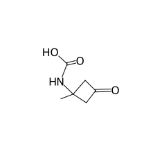 CC1(NC(=O)O)CC(=O)C1